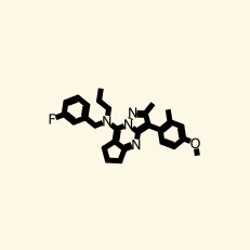 CCCN(Cc1cccc(F)c1)c1c2c(nc3c(-c4ccc(OC)cc4C)c(C)nn13)CCC2